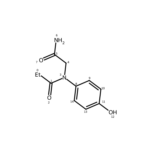 CCC(=O)N(CC(N)=O)c1ccc(O)cc1